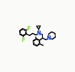 Cc1cccc(C)c1C(CN1CCCCC1)CN(CCCc1c(F)cccc1F)C1CC1